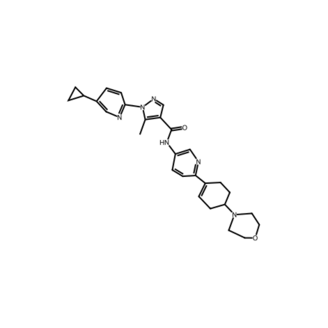 Cc1c(C(=O)Nc2ccc(C3=CCC(N4CCOCC4)CC3)nc2)cnn1-c1ccc(C2CC2)cn1